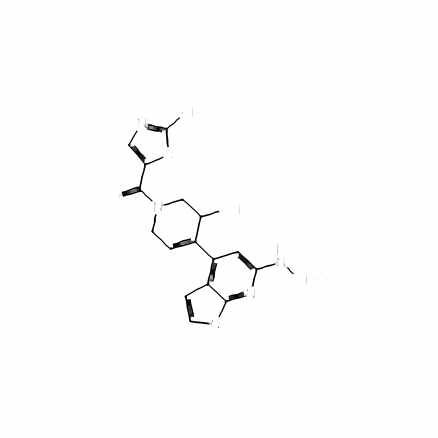 Cc1ncc(C(=O)N2CC=C(c3cc(NC=O)nc4[nH]ccc34)C(C)C2)s1